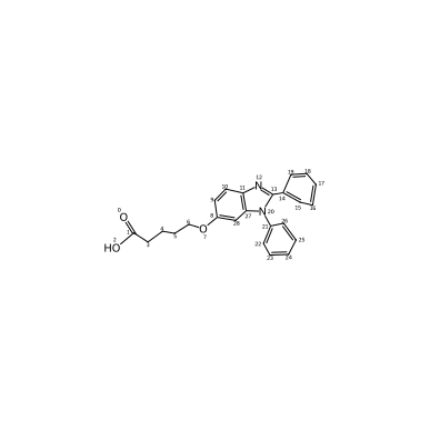 O=C(O)CCCCOc1ccc2nc(-c3ccccc3)n(-c3ccccc3)c2c1